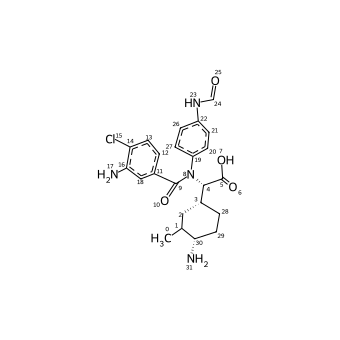 CC1C[C@H]([C@@H](C(=O)O)N(C(=O)c2ccc(Cl)c(N)c2)c2ccc(NC=O)cc2)CC[C@@H]1N